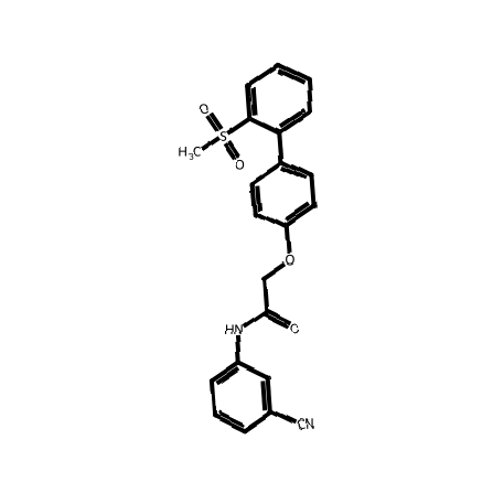 CS(=O)(=O)c1ccccc1-c1ccc(OCC(=O)Nc2cccc(C#N)c2)cc1